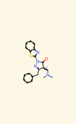 CN(C)/C=C1/C(=O)N(c2nc3ccccc3s2)N=C1Cc1ccccc1